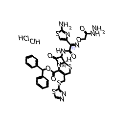 Cl.Cl.NNC(=O)CO/N=C(/C(=O)NC1C(=O)N2C(C(=O)OC(c3ccccc3)c3ccccc3)=C(CSc3nncs3)CS[C@H]12)c1csc(N)n1